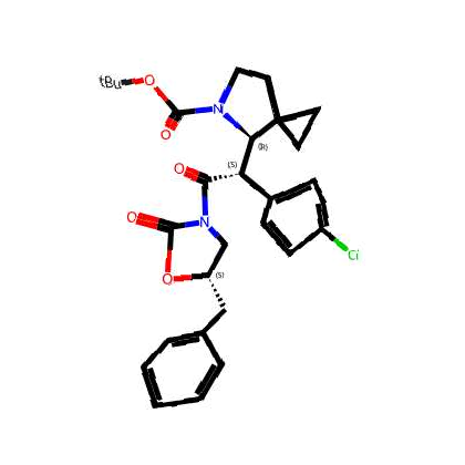 CC(C)(C)OC(=O)N1CCC2(CC2)[C@H]1[C@@H](C(=O)N1C[C@H](Cc2ccccc2)OC1=O)c1ccc(Cl)cc1